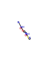 C/C(=N\NC(=O)CCSSc1ccccn1)c1ccc(OCCCC(=O)NCCCCCCN(C)C)cc1